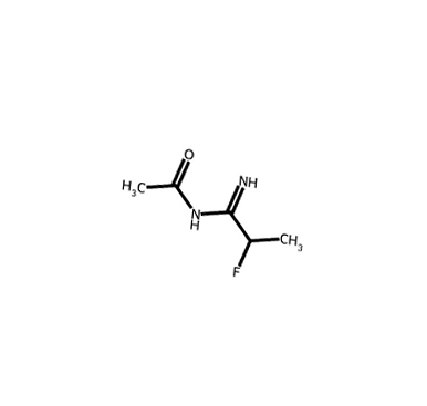 CC(=O)NC(=N)C(C)F